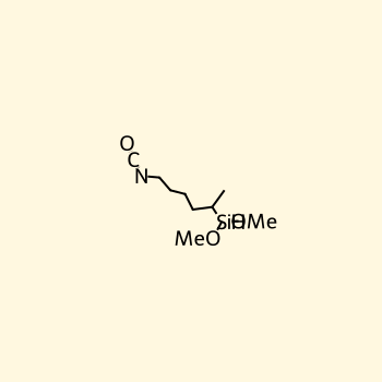 CO[SiH](OC)C(C)CCCCN=C=O